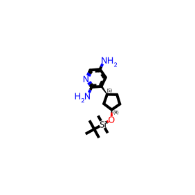 CC(C)(C)[Si](C)(C)O[C@@H]1CC[C@H](c2cc(N)cnc2N)C1